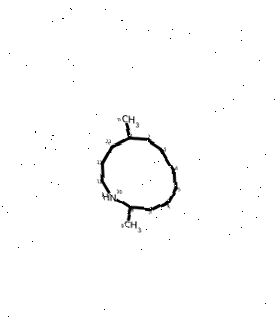 CC1CCCCCCC(C)NCCC1